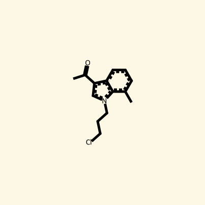 CC(=O)c1cn(CCCCl)c2c(C)cccc12